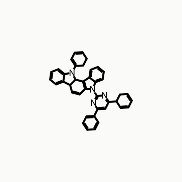 C1=CCCC(N2c3ccccc3C3C=Cc4c(c5ccccc5n4-c4nc(-c5ccccc5)cc(C5C=CC=CC5)n4)C32)=C1